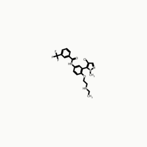 CCNCCOc1ccc(NC(=O)c2cccc(C(F)(F)F)c2)cc1-c1c(Cl)cnn1C